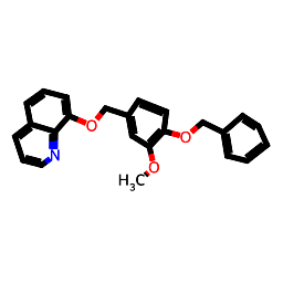 COc1cc(COc2cccc3cccnc23)ccc1OCc1ccccc1